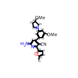 COc1cc(-c2cc(N)nc(-c3ccc(C)o3)c2C#N)cc(N2CCC(OC)C2)c1